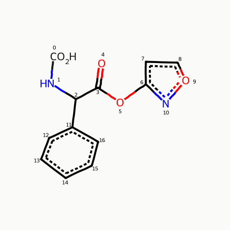 O=C(O)NC(C(=O)Oc1ccon1)c1ccccc1